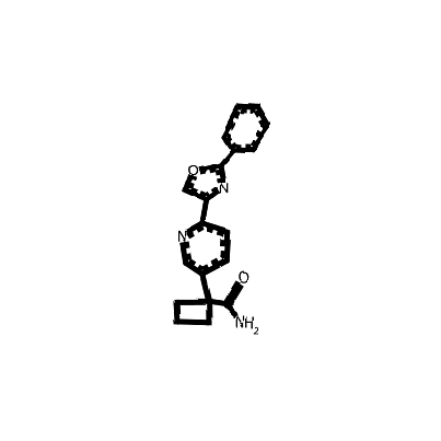 NC(=O)C1(c2ccc(-c3coc(-c4ccccc4)n3)nc2)CCC1